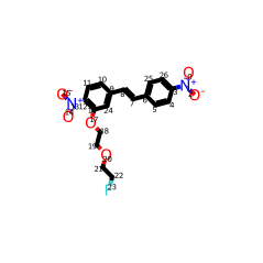 O=[N+]([O-])c1ccc(C=Cc2ccc([N+](=O)[O-])c(OCCOCCF)c2)cc1